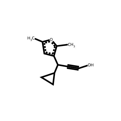 Cc1cc(C(C#CO)C2CC2)c(C)o1